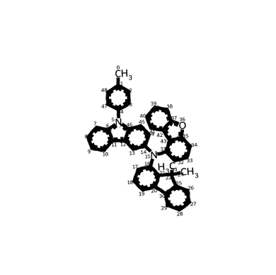 Cc1ccc(-n2c3ccccc3c3cc(N(c4cccc5c4C(C)(C)c4ccccc4-5)c4cccc5oc6ccccc6c45)ccc32)cc1